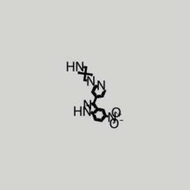 O=[N+]([O-])c1ccc2[nH]nc(-c3ccnc(N4CC5(CNC5)C4)c3)c2c1